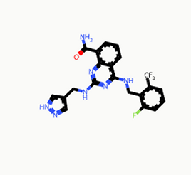 NC(=O)c1cccc2c(NCc3c(F)cccc3C(F)(F)F)nc(NCc3cn[nH]c3)nc12